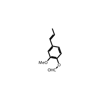 CC=Cc1ccc(OC=O)c(OC)c1